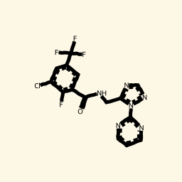 O=C(NCc1ncnn1-c1ncccn1)c1cc(C(F)(F)F)cc(Cl)c1F